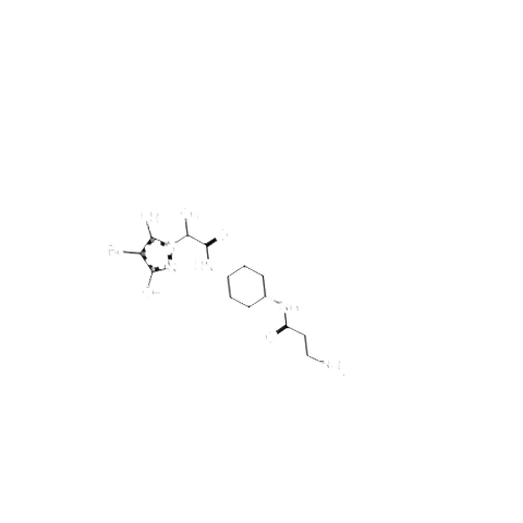 Cc1nn(C(C)C(=O)N[C@H]2CC[C@H](NC(=O)CCN)CC2)c(C)c1Br